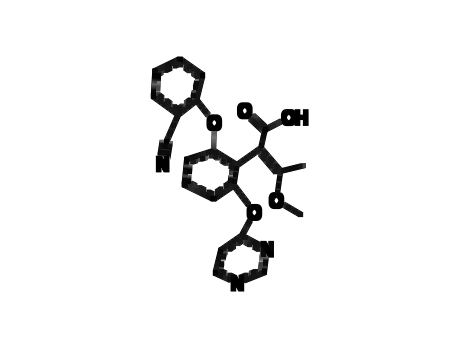 COC(C)=C(C(=O)O)c1c(Oc2ccncn2)cccc1Oc1ccccc1C#N